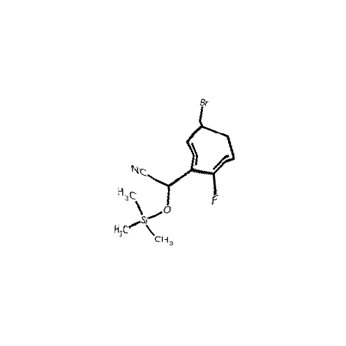 C[Si](C)(C)OC(C#N)C1=CC(Br)CC=C1F